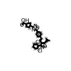 O=C(O)c1ccc(-c2noc(C34CCC(C=Cc5c(-c6c(Cl)cccc6Cl)noc5C5CC5)(CC3)CC4)n2)cc1